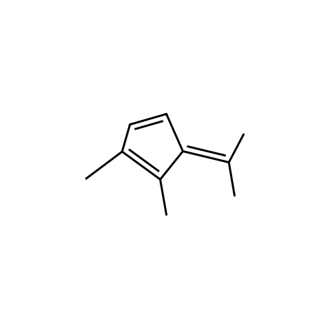 CC(C)=C1C=CC(C)=C1C